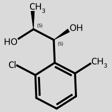 Cc1cccc(Cl)c1[C@H](O)[C@H](C)O